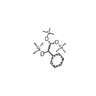 C[Si](C)(C)OC(O[Si](C)(C)C)=C(O[Si](C)(C)C)c1ccccc1